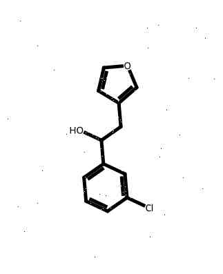 OC(Cc1ccoc1)c1cccc(Cl)c1